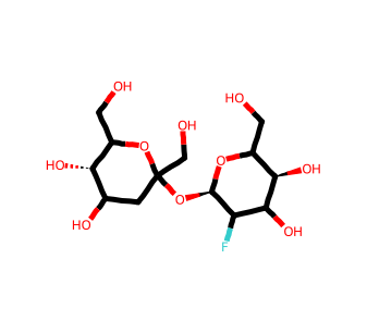 OCC1O[C@H](OC2(CO)CC(O)[C@H](O)C(CO)O2)C(F)C(O)[C@@H]1O